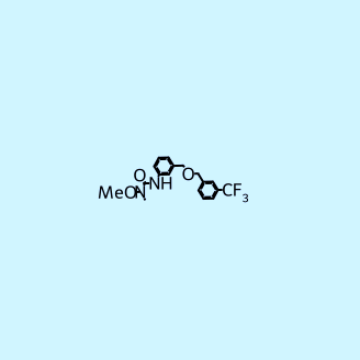 CON(C)C(=O)Nc1cccc(COCc2cccc(C(F)(F)F)c2)c1